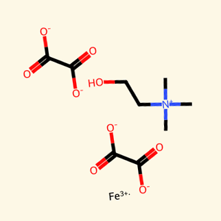 C[N+](C)(C)CCO.O=C([O-])C(=O)[O-].O=C([O-])C(=O)[O-].[Fe+3]